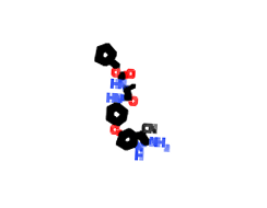 C[C@H](NC(=O)OCc1ccccc1)C(=O)Nc1ccc(Oc2ccc3[nH]c(N)c(C#N)c3c2)cc1